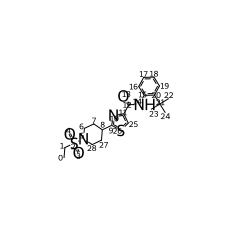 CCS(=O)(=O)N1CCC(c2nc(C(=O)Nc3ccccc3C(C)(C)C)cs2)CC1